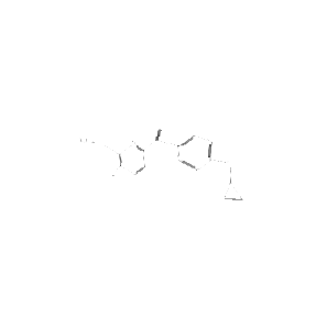 COc1nc(C(=O)c2ccc(OC3CC3)cc2)ccc1Cl